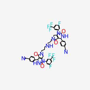 N#Cc1ccc(C2NC(=O)N(c3cc(F)cc(C(F)(F)F)c3)C3=C2C(=O)N(CCCNCCCN2CC4=C(C2=O)C(c2ccc(C#N)cc2)NC(=O)N4c2cc(F)cc(C(F)(F)F)c2)C3)cc1